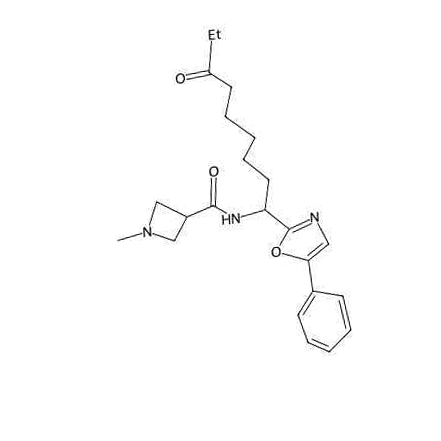 CCC(=O)CCCCCC(NC(=O)C1CN(C)C1)c1ncc(-c2ccccc2)o1